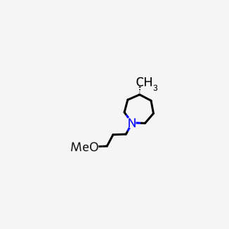 COCCCN1CCC[C@@H](C)CC1